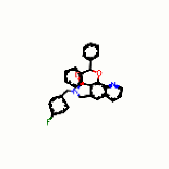 O=C1c2c(cc3cccnc3c2OC(c2ccccc2)c2ccccc2)CN1Cc1ccc(F)cc1